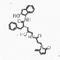 C=C1C=CC(=O)N1CCC(=O)NC[C@@H](O)C[C@@H](Cc1ccccc1)C(=O)N[C@H]1c2ccccc2C[C@H]1O